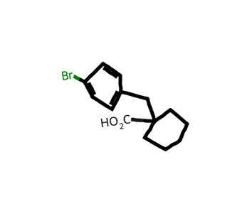 O=C(O)C1(Cc2ccc(Br)cc2)CCCCC1